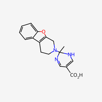 CC1(N2CCc3c(oc4ccccc34)C2)N=CC(C(=O)O)=CN1